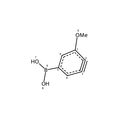 COc1c#ccc(B(O)O)c1